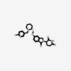 O=C1CCC(N2Cc3cc(OC[C@H]4CCCCN4Cc4ccc(F)nc4)ccc3C2=O)C(=O)N1